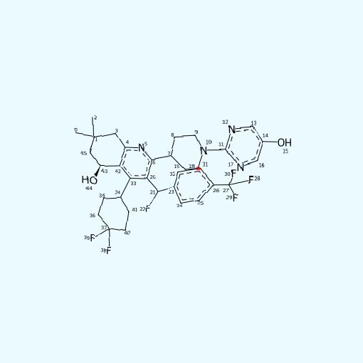 CC1(C)Cc2nc(C3CCN(c4ncc(O)cn4)CC3)c(C(F)c3ccc(C(F)(F)F)cc3)c(C3CCC(F)(F)CC3)c2[C@@H](O)C1